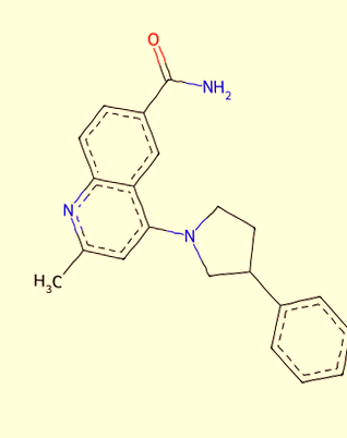 Cc1cc(N2CCC(c3ccccc3)C2)c2cc(C(N)=O)ccc2n1